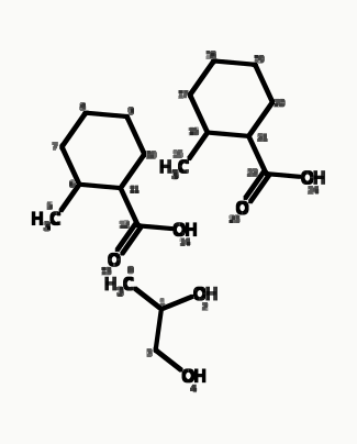 CC(O)CO.CC1CCCCC1C(=O)O.CC1CCCCC1C(=O)O